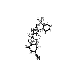 Cn1c(-c2ccccc2C(F)(F)F)nnc1C(C)(C)Oc1c(F)cc(C#N)cc1F